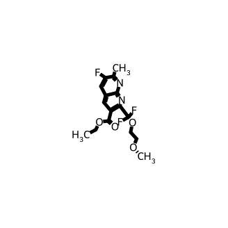 CCOC(=O)c1cc2cc(F)c(C)nc2nc1C(F)(F)OCCOC